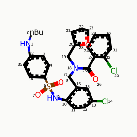 CCCCNc1ccc(S(=O)(=O)Nc2ccc(Cl)cc2CN(Cc2ccco2)C(=O)c2ccccc2Cl)cc1